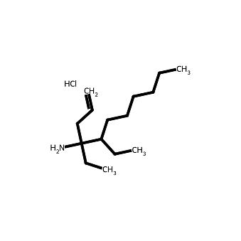 C=CCC(N)(CC)C(CC)CCCCCC.Cl